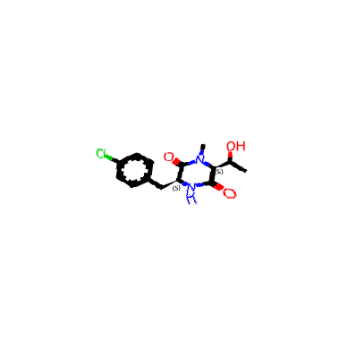 CC(O)[C@H]1C(=O)N[C@@H](Cc2ccc(Cl)cc2)C(=O)N1C